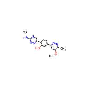 COc1cc(-c2ccc(-c3cnc(NC4CC4)nn3)c(O)c2)nnc1C